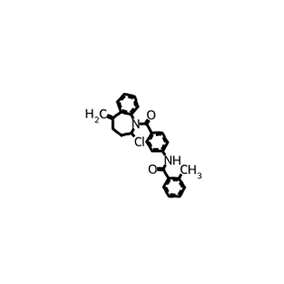 C=C1CCC(Cl)N(C(=O)c2ccc(NC(=O)c3ccccc3C)cc2)c2ccccc21